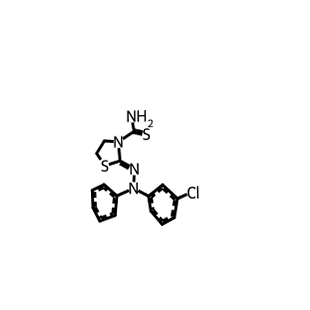 NC(=S)N1CCSC1=NN(c1ccccc1)c1cccc(Cl)c1